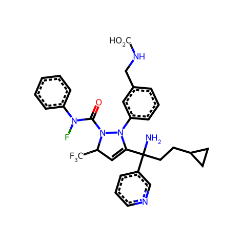 NC(CCC1CC1)(C1=CC(C(F)(F)F)N(C(=O)N(F)c2ccccc2)N1c1cccc(CNC(=O)O)c1)c1cccnc1